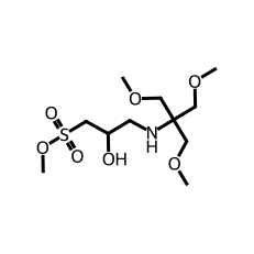 COCC(COC)(COC)NCC(O)CS(=O)(=O)OC